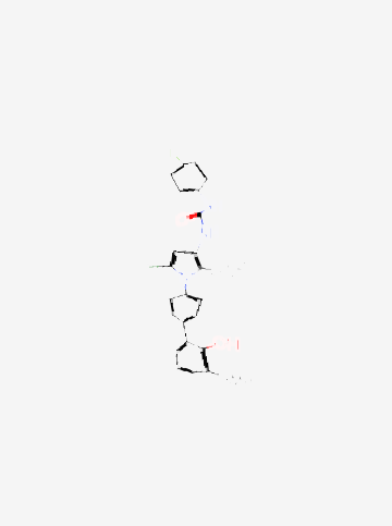 CCOC(=O)c1c(NC(=O)Nc2ccc(F)cc2)cc(Cl)n1-c1ccc(-c2cccc(OC)c2O)cc1